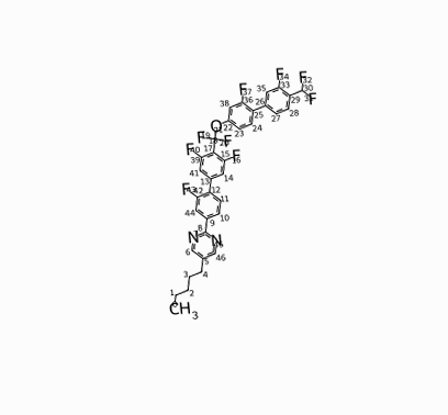 CCCCCc1cnc(-c2ccc(-c3cc(F)c(C(F)(F)Oc4ccc(-c5ccc(C(F)F)c(F)c5)c(F)c4)c(F)c3)c(F)c2)nc1